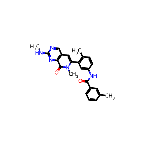 CNc1ncc2cc(-c3cc(NC(=O)c4cccc(C)c4)ccc3C)n(C)c(=O)c2n1